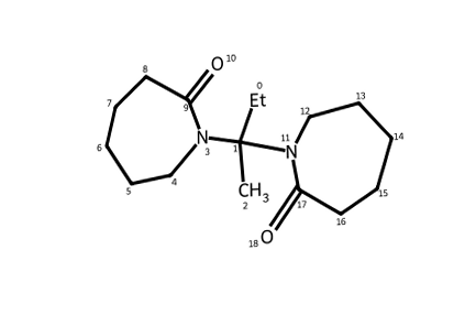 CCC(C)(N1CCCCCC1=O)N1CCCCCC1=O